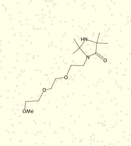 COCCOCCOCCN1C(=O)C(C)(C)NC1(C)C